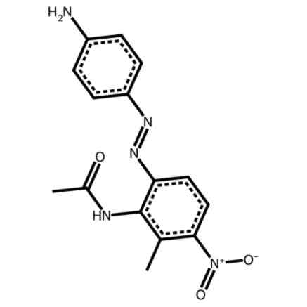 CC(=O)Nc1c(N=Nc2ccc(N)cc2)ccc([N+](=O)[O-])c1C